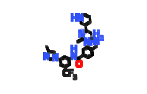 C=C(/N=C(\CCN)C1=CC=CNC1)Nc1cc(C(=O)Nc2cc(-n3cnc(C)c3)cc(C(F)(F)F)c2)ccc1C